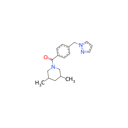 CC1CC(C)CN(C(=O)c2ccc(Cn3cccn3)cc2)C1